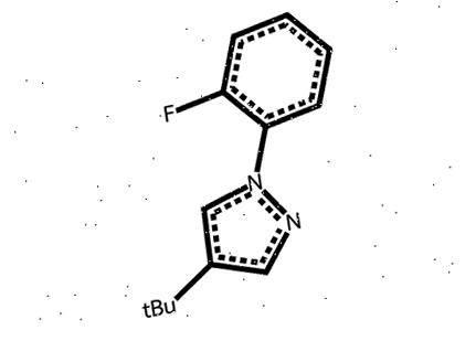 CC(C)(C)c1cnn(-c2ccccc2F)c1